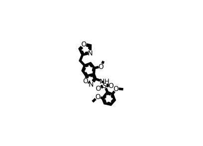 COc1cccc(OC)c1S(=O)(=O)Nc1noc2cc(Cc3cocn3)cc(OC)c12